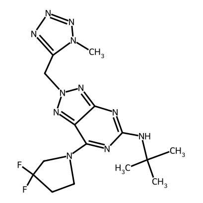 Cn1nnnc1Cn1nc2nc(NC(C)(C)C)nc(N3CCC(F)(F)C3)c2n1